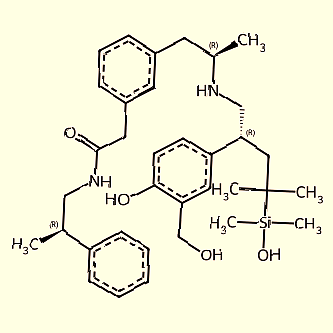 C[C@H](Cc1cccc(CC(=O)NC[C@H](C)c2ccccc2)c1)NC[C@H](CC(C)(C)[Si](C)(C)O)c1ccc(O)c(CO)c1